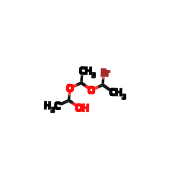 CC(O)OC(C)OC(C)Br